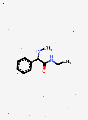 CCNC(=O)C(NC)c1ccccc1